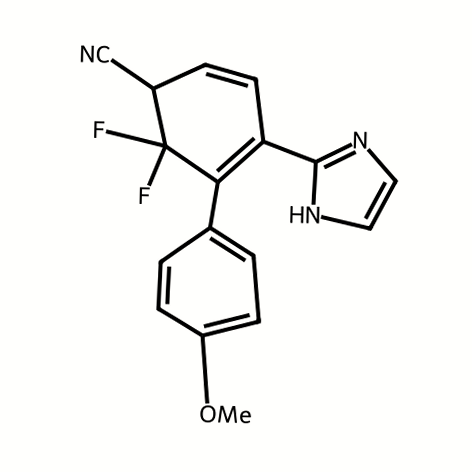 COc1ccc(C2=C(c3ncc[nH]3)C=CC(C#N)C2(F)F)cc1